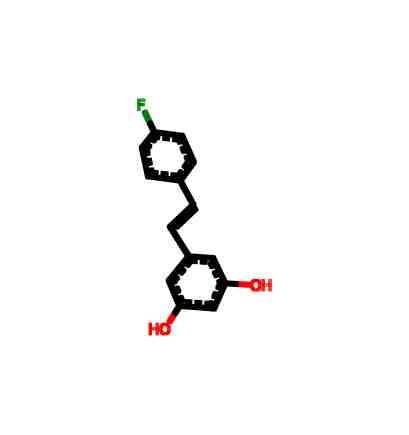 Oc1cc(O)cc(/C=C/c2ccc(F)cc2)c1